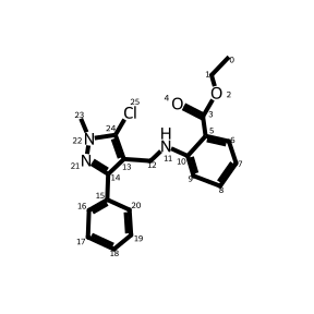 CCOC(=O)c1ccccc1NCc1c(-c2ccccc2)nn(C)c1Cl